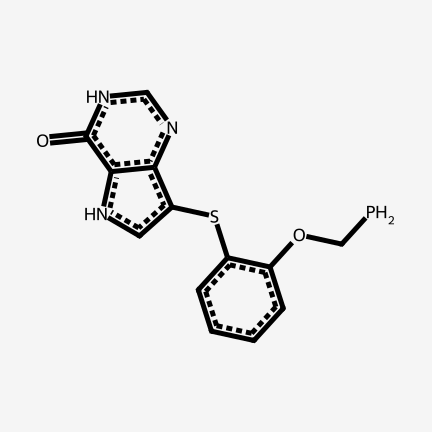 O=c1[nH]cnc2c(Sc3ccccc3OCP)c[nH]c12